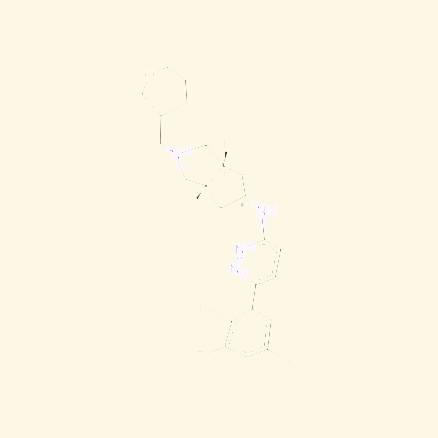 Fc1cc(F)c(F)c(-c2ccc(N[C@@H]3C[C@@H]4CN(CC5CCCOC5)C[C@@H]4C3)nn2)c1